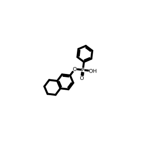 O=P(O)(Oc1ccc2c(c1)CCCC2)c1ccccc1